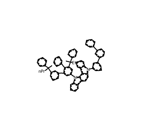 CCCC(C)(c1ccccc1)c1cccc(-c2cc(-n3c4ccccc4c4ccc5c(c6ccccc6n5-c5cccc(-c6cccc(-c7ccccc7)c6)c5)c43)cc(C(C)(CC)c3ccccc3)c2-c2ccccc2)c1